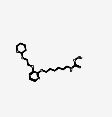 CC(C)(C)OC(=O)NCCCCCCOc1ncccc1OCCOC1CCCCO1